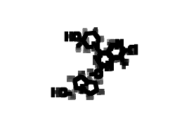 C[C@@]1(O)CCCN(c2nc(OC[C@]34CCCN3[C@H](CO)CC4)nc3c(F)c(Cl)ncc23)C1